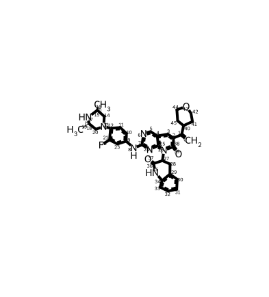 C=C(c1cc2cnc(Nc3ccc(N4C[C@@H](C)N[C@@H](C)C4)c(F)c3)nc2n(C2Cc3ccccc3NC2=O)c1=O)C1CCOCC1